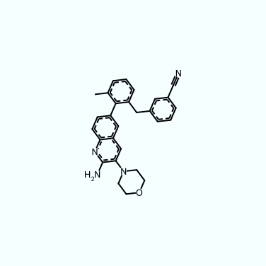 Cc1cccc(Cc2cccc(C#N)c2)c1-c1ccc2nc(N)c(N3CCOCC3)cc2c1